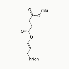 CCCCCCCCCCC=COC(=O)CCC(=O)OCCCC